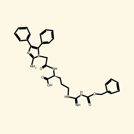 N=C(NCCC[C@H](NC(=O)Cn1c(N)nc(-c2ccccc2)c1-c1ccccc1)C(=O)O)NC(=O)OCc1ccccc1